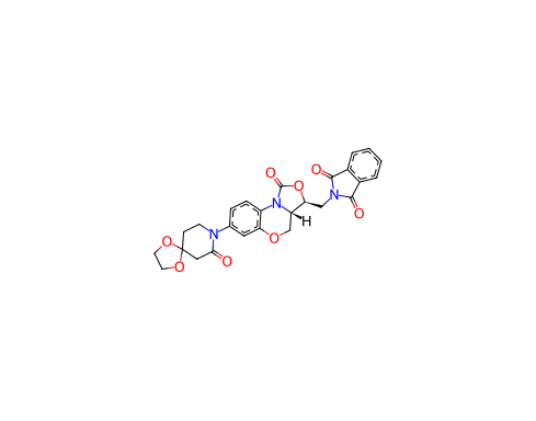 O=C1c2ccccc2C(=O)N1C[C@@H]1OC(=O)N2c3ccc(N4CCC5(CC4=O)OCCO5)cc3OC[C@@H]12